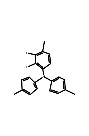 Cc1ccc(N(c2ccc(C)cc2)c2ccc(C)c(F)c2F)cc1